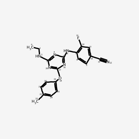 CCNc1nc(Nc2ccc(C#N)cc2F)nc(Oc2ccc(C)cc2)n1